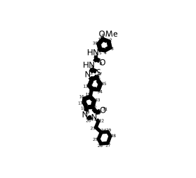 COc1cccc(NC(=O)Nc2nc3cc(-c4ccc5ncn(CCC6CCCCC6)c(=O)c5c4)ccc3s2)c1